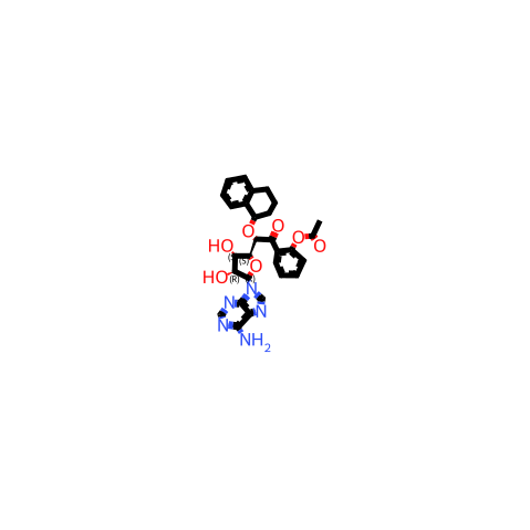 CC(=O)Oc1ccccc1C(=O)C(OC1CCCc2ccccc21)[C@H]1O[C@@H](n2cnc3c(N)ncnc32)[C@H](O)[C@@H]1O